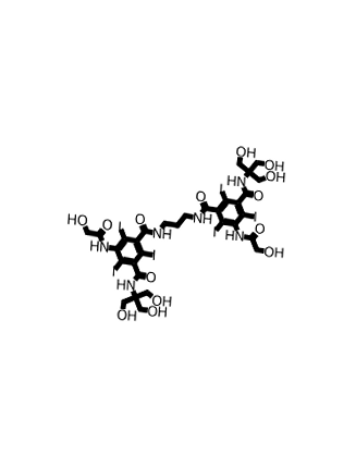 O=C(CO)Nc1c(I)c(C(=O)NCCCNC(=O)c2c(I)c(NC(=O)CO)c(I)c(C(=O)NC(CO)(CO)CO)c2I)c(I)c(C(=O)NC(CO)(CO)CO)c1I